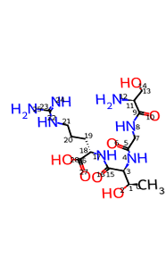 C[C@@H](O)[C@H](NC(=O)CNC(=O)[C@@H](N)CO)C(=O)N[C@@H](CCCNC(=N)N)C(=O)O